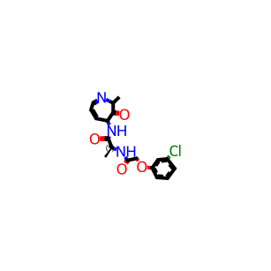 CC1N=CC=CC(NC(=O)[C@H](C)NC(=O)COc2cccc(Cl)c2)C1=O